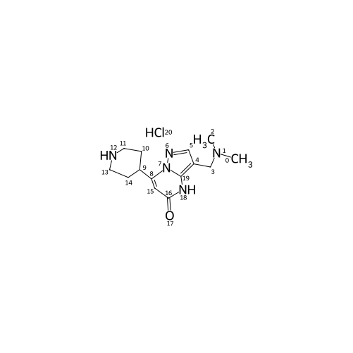 CN(C)Cc1cnn2c(C3CCNCC3)cc(=O)[nH]c12.Cl